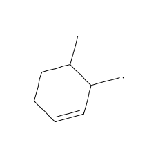 [CH2]C1C=CCCC1C